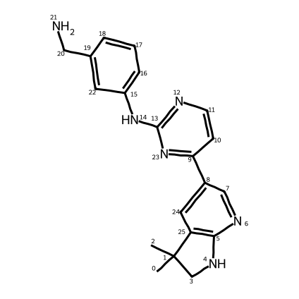 CC1(C)CNc2ncc(-c3ccnc(Nc4cccc(CN)c4)n3)cc21